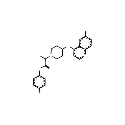 CC(C(=O)Nc1ccc(F)cc1)N1CCC(Oc2ccnc3ccc(F)cc23)CC1